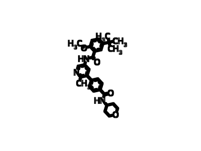 COc1ccc(C(C)(C)C)cc1C(=O)Nc1cnc(C)c(-c2ccc(C(=O)NC3CCOCC3)cc2)c1